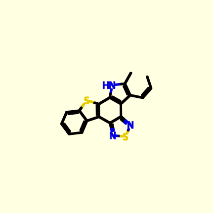 C/C=C\c1c(C)[nH]c2c3sc4ccccc4c3c3nsnc3c12